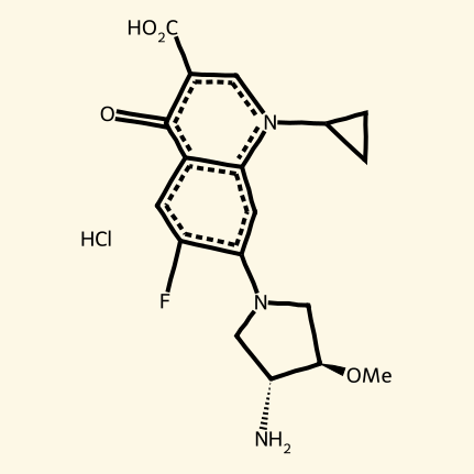 CO[C@@H]1CN(c2cc3c(cc2F)c(=O)c(C(=O)O)cn3C2CC2)C[C@H]1N.Cl